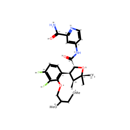 COCC(COc1c([C@H]2[C@H](C(=O)Nc3ccnc(C(N)=O)c3)O[C@@](C)(C(F)(F)F)[C@H]2C)ccc(F)c1F)OC